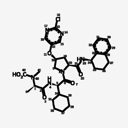 C[C@@H](C(=O)N[C@H](C(=O)N1C[C@@H](Oc2cnc(Cl)nc2)C[C@H]1C(=O)N[C@@H]1CCCc2ccccc21)C1CCCCC1)N(C)C(=O)O